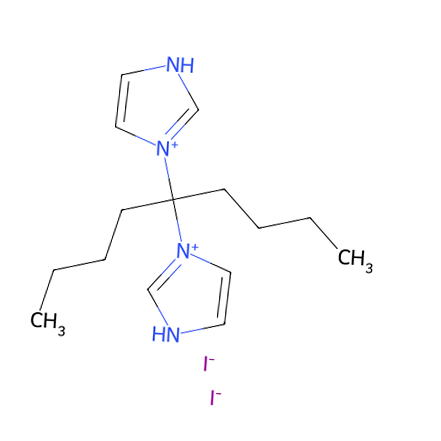 CCCCC(CCCC)([n+]1cc[nH]c1)[n+]1cc[nH]c1.[I-].[I-]